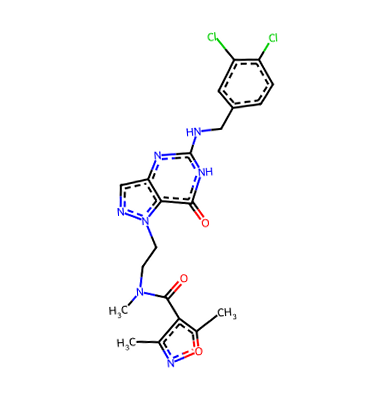 Cc1noc(C)c1C(=O)N(C)CCn1ncc2nc(NCc3ccc(Cl)c(Cl)c3)[nH]c(=O)c21